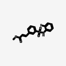 COC(=O)C=Cc1cccc(S(=O)(=O)Nc2ccccc2F)c1